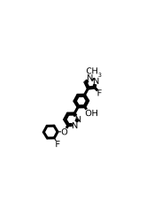 Cn1cc(-c2ccc(-c3ccc(O[C@H]4CCCC[C@H]4F)nn3)c(O)c2)c(F)n1